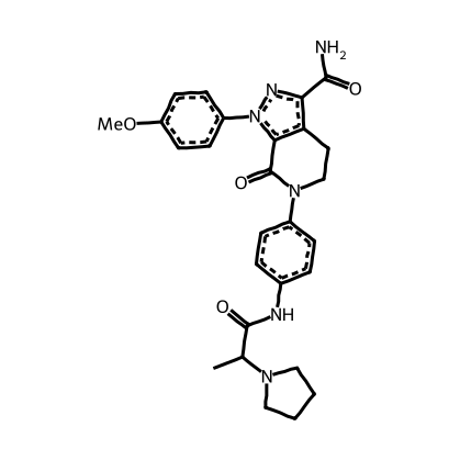 COc1ccc(-n2nc(C(N)=O)c3c2C(=O)N(c2ccc(NC(=O)C(C)N4CCCC4)cc2)CC3)cc1